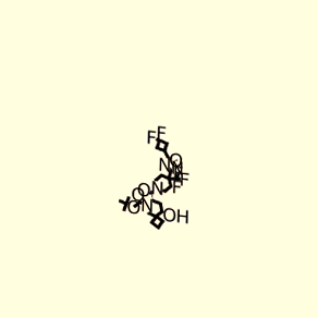 CC(C)(C)OC(=O)N1CC2(CCC2)[C@H](O)C[C@H]1C(=O)N1CCC(c2noc(C3CC(F)(F)C3)n2)(C(F)(F)F)CC1